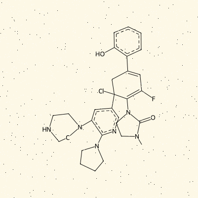 CN1CCN(C2=C(F)C=C(c3ccccc3O)CC2(Cl)c2cnc(N3CCCC3)c(N3CCNCC3)c2)C1=O